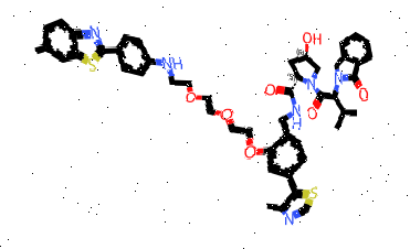 Cc1ccc2nc(-c3ccc(NCCOCCOCCOc4cc(-c5scnc5C)ccc4CNC(=O)[C@@H]4C[C@@H](O)CN4C(=O)C(C(C)C)N4Cc5ccccc5C4=O)cc3)sc2c1